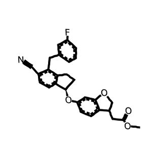 COC(=O)CC1COc2cc(O[C@@H]3CCc4c3ccc(C#N)c4Cc3cccc(F)c3)ccc21